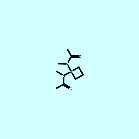 CC(=O)N(C)[Si]1(N(C)C(C)=O)CCC1